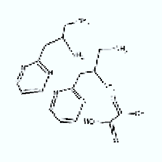 NCC(N)Cc1ncccn1.NCC(N)Cc1ncccn1.O=C(O)C(=O)O